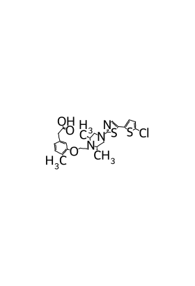 Cc1ccc(CC(=O)O)cc1OCCN1[C@H](C)CN(c2ncc(-c3ccc(Cl)s3)s2)C[C@@H]1C